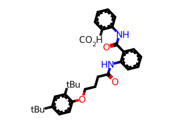 CC(C)(C)c1ccc(OCCCC(=O)Nc2ccccc2C(=O)Nc2ccccc2C(=O)O)c(C(C)(C)C)c1